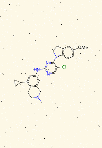 COc1ccc2c(c1)CCN2c1nc(Nc2cc3c(c(C4CC4)c2)CCN(C)C3)ncc1Cl